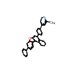 N#Cc1cc(-c2ccc(-c3cc4oc5cc(-c6ccccc6)ccc5c4c4ccccc34)cc2)ccn1